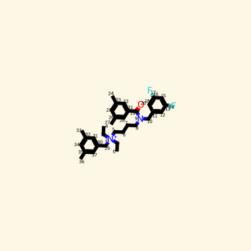 CC[N+](CC)(CCCCN(Cc1cc(F)cc(F)c1)C(=O)c1cc(C)cc(C)c1)Cc1cc(C)cc(C)c1